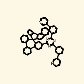 c1cncc(-c2cccc(-c3nc(-c4cccc(-c5cccnc5)c4)nc(-c4ccc5c(c4)C4(c6ccccc6-c6ccccc6-5)c5ccccc5-c5c4ccc4ccccc54)n3)c2)c1